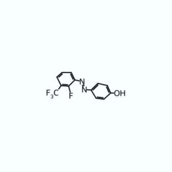 Oc1ccc(N=Nc2cccc(C(F)(F)F)c2F)cc1